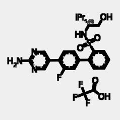 CC(C)[C@H](CO)NS(=O)(=O)c1ccccc1-c1ccc(-c2cnc(N)nc2)c(F)c1.O=C(O)C(F)(F)F